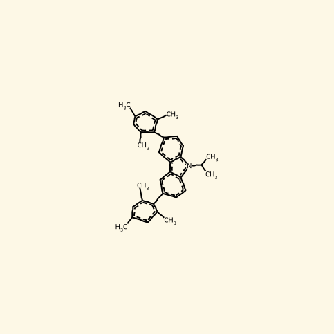 Cc1cc(C)c(-c2ccc3c(c2)c2cc(-c4c(C)cc(C)cc4C)ccc2n3C(C)C)c(C)c1